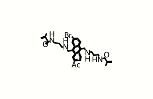 C=C(C)C(=O)NCCCNCc1c2ccc(Br)cc2c(CNCCCNC(=O)C(=C)C)c2cc(C(C)=O)ccc12